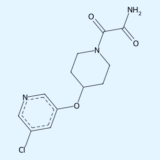 NC(=O)C(=O)N1CCC(Oc2cncc(Cl)c2)CC1